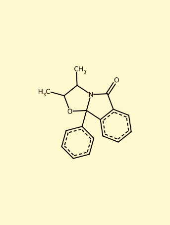 CC1OC2(c3ccccc3)c3ccccc3C(=O)N2C1C